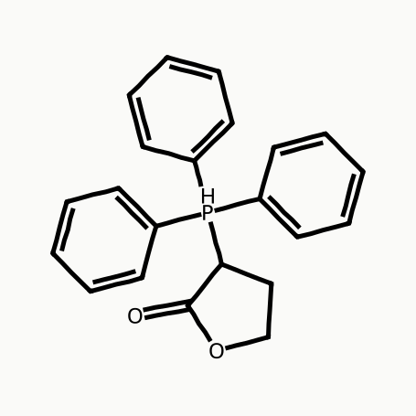 O=C1OCCC1[PH](c1ccccc1)(c1ccccc1)c1ccccc1